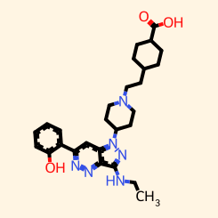 CCNc1nn(C2CCN(CCC3CCC(C(=O)O)CC3)CC2)c2cc(-c3ccccc3O)nnc12